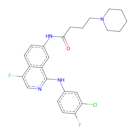 O=C(CCCN1CCCCC1)Nc1ccc2c(F)cnc(Nc3ccc(F)c(Cl)c3)c2c1